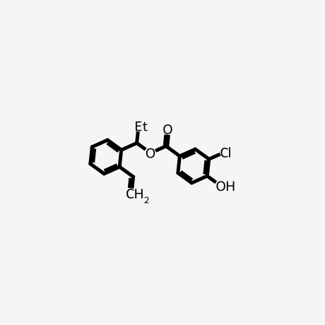 C=Cc1ccccc1C(CC)OC(=O)c1ccc(O)c(Cl)c1